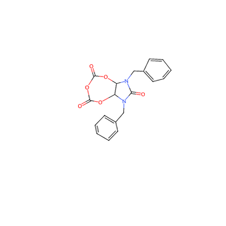 O=C1OC(=O)OC2C(O1)N(Cc1ccccc1)C(=O)N2Cc1ccccc1